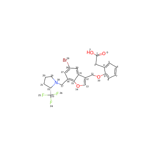 O=C(O)Cc1ccccc1OCc1coc2c(CN3CCC[C@H]3C(F)(F)F)cc(Br)cc12